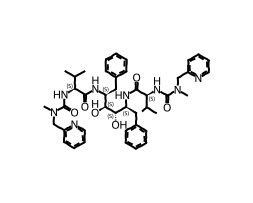 CC(C)[C@H](NC(=O)N(C)Cc1ccccn1)C(=O)N[C@@H](Cc1ccccc1)[C@H](O)[C@@H](O)[C@H](Cc1ccccc1)NC(=O)[C@@H](NC(=O)N(C)Cc1ccccn1)C(C)C